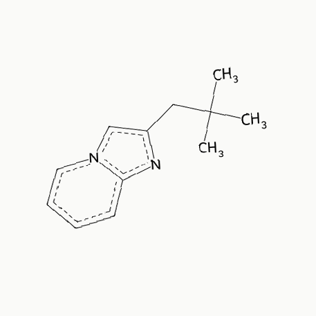 CC(C)(C)Cc1cn2ccccc2n1